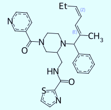 CC/C=C\C=C(/C)C(c1ccccc1)N1CCN(C(=O)c2cccnc2)CC1CNC(=O)c1nccs1